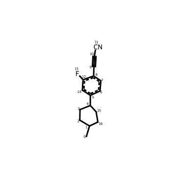 CC1CCC(c2ccc(C#CC#N)c(F)c2)CC1